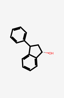 O[C@H]1CC(c2ccccc2)c2ccccc21